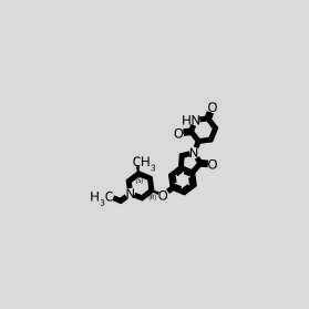 CCN1C[C@@H](C)C[C@@H](Oc2ccc3c(c2)CN(C2CCC(=O)NC2=O)C3=O)C1